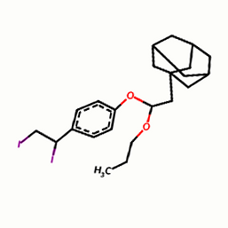 CCCOC(CC12CC3CC(CC(C3)C1)C2)Oc1ccc(C(I)CI)cc1